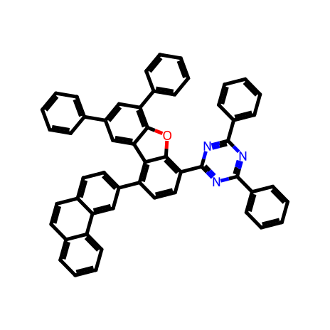 c1ccc(-c2cc(-c3ccccc3)c3oc4c(-c5nc(-c6ccccc6)nc(-c6ccccc6)n5)ccc(-c5ccc6ccc7ccccc7c6c5)c4c3c2)cc1